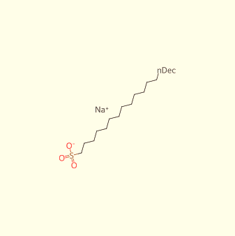 CCCCCCCCCCCCCCCCCCCCCCCS(=O)(=O)[O-].[Na+]